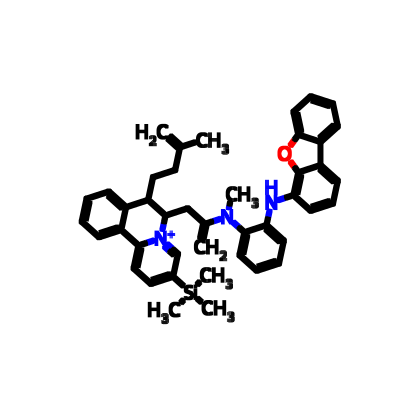 C=C(C)CCC1c2ccccc2-c2ccc([Si](C)(C)C)c[n+]2C1CC(=C)N(C)c1ccccc1Nc1cccc2c1oc1ccccc12